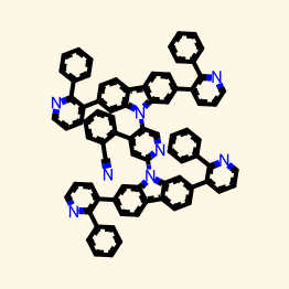 N#Cc1ccccc1-c1cc(-n2c3cc(-c4cccnc4-c4ccccc4)ccc3c3ccc(-c4cccnc4-c4ccccc4)cc32)ncc1-n1c2cc(-c3cccnc3-c3ccccc3)ccc2c2ccc(-c3cccnc3-c3ccccc3)cc21